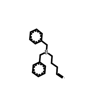 [CH]=CCCCB(Cc1ccccc1)Cc1ccccc1